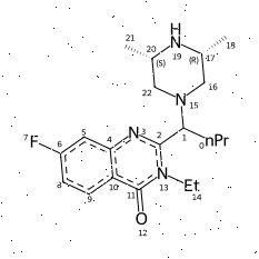 CCCC(c1nc2cc(F)ccc2c(=O)n1CC)N1C[C@@H](C)N[C@@H](C)C1